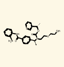 C[C@H](OC(=O)N(CCOCCO)[C@@H](C)c1ccc(C(=O)Nc2ccccc2N)cc1)c1cccnc1